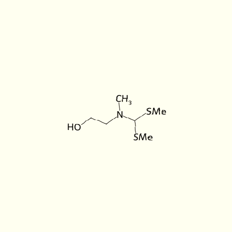 CSC(SC)N(C)CCO